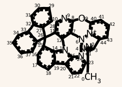 Cc1cc2n(n1)[N+]13c4c(ncc5c4-n4c6c(cccc6c6ccc[n+]1c64)C51c4ccccc4-c4ccccc41)Oc1cccc-2[n+]13